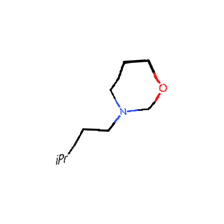 CC(C)CCN1CCCOC1